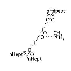 CCCCCCCSC(SCCCCCCC)C(=O)OCCCCCCC(CCCCCCOC(=O)C(SCCCCCCC)SCCCCCCC)OC(=O)CCCN(C)C